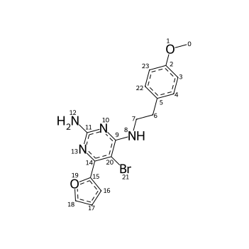 COc1ccc(CCNc2nc(N)nc(-c3ccco3)c2Br)cc1